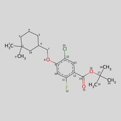 CC1(C)CCCC(COc2cc(F)c(C(=O)OC(C)(C)C)cc2Cl)C1